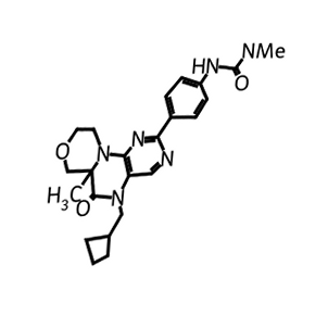 CNC(=O)Nc1ccc(-c2ncc3c(n2)N2CCOCC2(C)C(=O)N3CC2CCC2)cc1